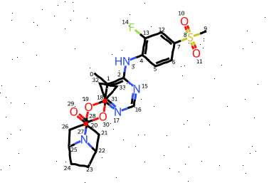 Cc1c(Nc2ccc(S(C)(=O)=O)cc2F)ncnc1OC1CC2CCC(C1)N2C(=O)OC1CC1